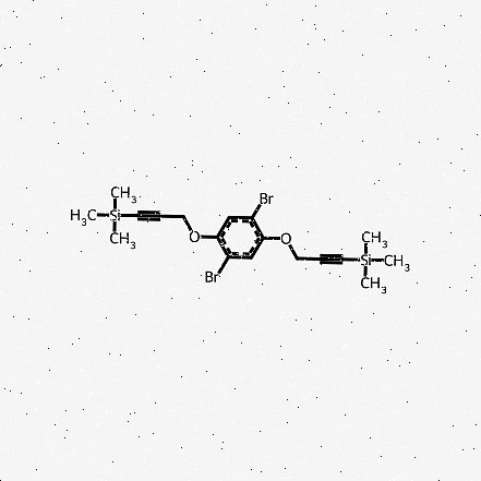 C[Si](C)(C)C#CCOc1cc(Br)c(OCC#C[Si](C)(C)C)cc1Br